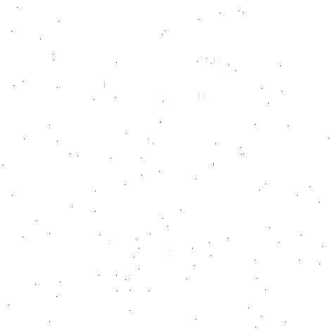 N[C@H]1CC[C@@H]2CN(c3ccc(C(F)(F)F)cc3)C[C@@H]21